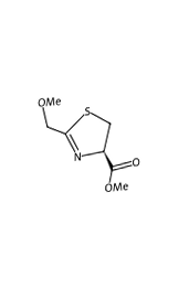 COCC1=N[C@H](C(=O)OC)CS1